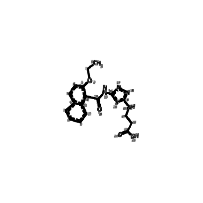 CCOc1ccc2ccccc2c1C(=O)Nc1nnc(NCCC(=O)O)s1